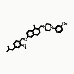 COc1cccc(N2CCN(CC3=C(C)c4ccc(OCc5ccc(CC(C)C)cc5OC)cc4CC3)CC2)c1